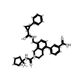 CC1(NC(=O)N2CCc3c(-c4cccc(C(=O)O)c4)ccc(CNC(=O)C4CC4c4ccccc4)c3C2)CCCC1